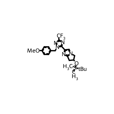 COc1ccc(Cn2nc(C(F)(F)F)nc2-c2cn3c(n2)CC(O[Si](C)(C)C(C)(C)C)C3)cc1